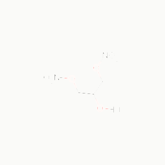 CCOC(CO[N+](=O)[O-])CO[N+](=O)[O-]